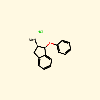 CN[C@@H]1Cc2ccccc2[C@@H]1Oc1ccccc1.Cl